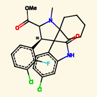 COC(=O)C1[C@H](c2cccc(Cl)c2F)C2(C(=O)Nc3cc(Cl)ccc32)C2(CCCCC2)N1C